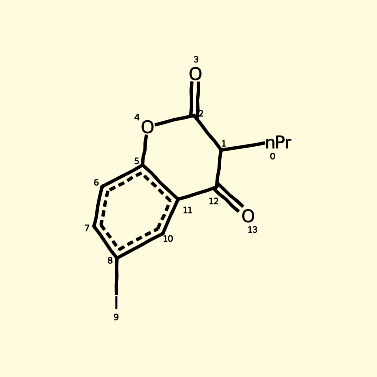 CCCC1C(=O)Oc2ccc(I)cc2C1=O